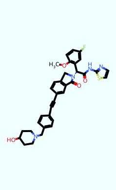 COc1ccc(F)cc1[C@H](C(=O)Nc1nccs1)N1Cc2ccc(C#Cc3ccc(CN4CCC(O)CC4)cc3)cc2C1=O